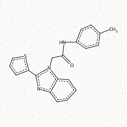 Cc1ccc(NC(=O)Cn2c(-c3cccs3)nc3ccccc32)cc1